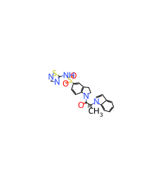 C[C@H](C(=O)N1CCc2cc(S(=O)(=O)Nc3ncns3)ccc21)n1ccc2ccccc21